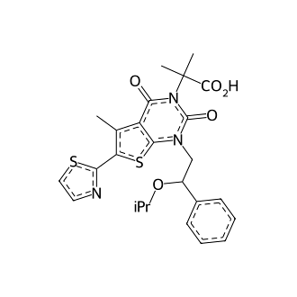 Cc1c(-c2nccs2)sc2c1c(=O)n(C(C)(C)C(=O)O)c(=O)n2CC(OC(C)C)c1ccccc1